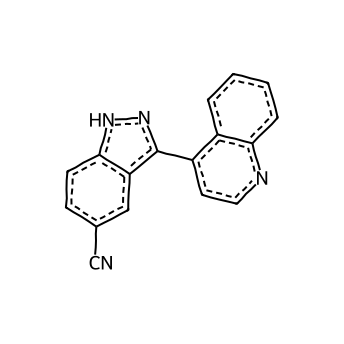 N#Cc1ccc2[nH]nc(-c3ccnc4ccccc34)c2c1